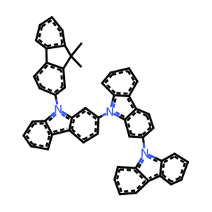 CC1(C)c2ccccc2-c2ccc(-n3c4ccccc4c4ccc(-n5c6ccccc6c6ccc(-n7c8ccccc8c8ccccc87)cc65)cc43)cc21